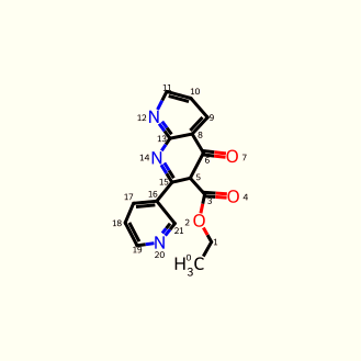 CCOC(=O)C1C(=O)c2cccnc2N=C1c1cccnc1